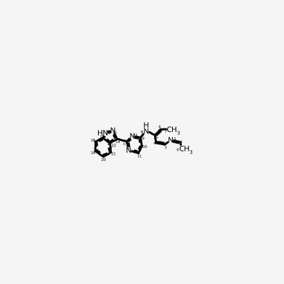 C\C=N/C=C\C(=C/C)Nc1ccnc(-c2n[nH]c3ccccc23)n1